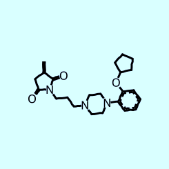 C=C1CC(=O)N(CCCN2CCN(c3ccccc3OC3CCCC3)CC2)C1=O